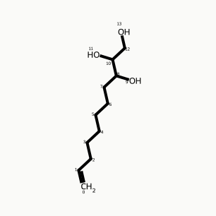 C=CCCCCCCC(O)C(O)CO